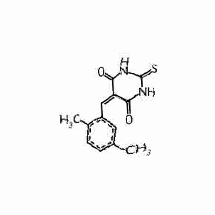 Cc1ccc(C)c(C=C2C(=O)NC(=S)NC2=O)c1